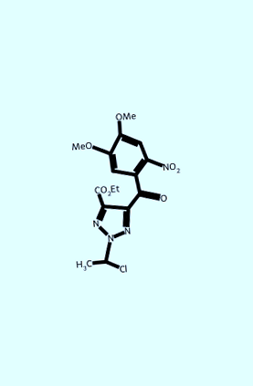 CCOC(=O)c1nn(C(C)Cl)nc1C(=O)c1cc(OC)c(OC)cc1[N+](=O)[O-]